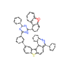 c1ccc(-c2nc(-c3cccc(-c4ccc5sc6ccc7c(-c8ccccc8)nc8ccccc8c7c6c5c4)c3)nc(-c3cccc4oc5ccccc5c34)n2)cc1